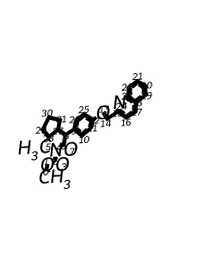 COC(=O)N(C)C(=O)C(c1ccc(OCc2ccc3ccccc3n2)cc1)C1CCCC1